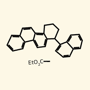 CCOC(C)=O.c1ccc2c(C3CCCc4c3ccc3c4ccc4ccccc43)cccc2c1